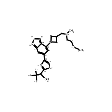 COCCN(C)CC1CN(c2cc(-c3csc(C(O)C(F)(F)F)n3)cc3nonc23)C1